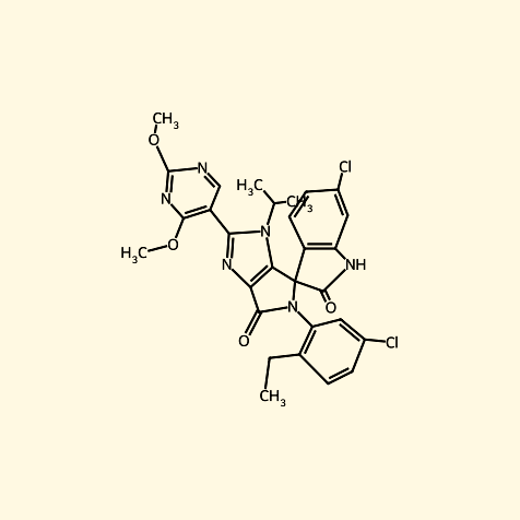 CCc1ccc(Cl)cc1N1C(=O)c2nc(-c3cnc(OC)nc3OC)n(C(C)C)c2C12C(=O)Nc1cc(Cl)ccc12